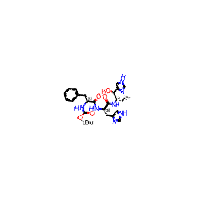 CC(C)C[C@H](NC(=O)[C@H](Cc1c[nH]cn1)NC(=O)[C@H](Cc1ccccc1)NC(=O)OC(C)(C)C)C(O)c1c[nH]cn1